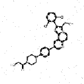 O=C(CO)N1CCN(c2ccc(-c3cnc4ccn5c(CO)c(-c6c(Cl)cccc6Cl)nc5c4c3)cc2)CC1